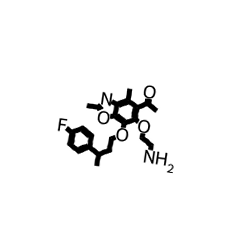 CC(=O)c1c(OCCN)c(OCCC(C)c2ccc(F)cc2)c2oc(C)nc2c1C